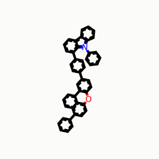 c1ccc(-c2ccc3c4c(cccc24)-c2cc(-c4ccc(-c5cccc6c7ccccc7n(-c7ccccc7)c56)cc4)ccc2O3)cc1